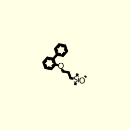 CO[Si](C)(C)CCCOc1ccccc1-c1ccccc1